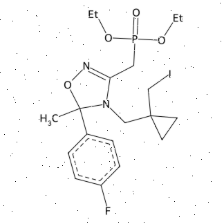 CCOP(=O)(CC1=NOC(C)(c2ccc(F)cc2)N1CC1(CI)CC1)OCC